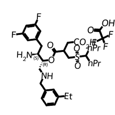 CCCC(CCC)S(=O)(=O)CC(CC(=O)O)C(=O)O[C@H](CNCc1cccc(CC)c1)[C@@H](N)Cc1cc(F)cc(F)c1.O=C(O)C(F)(F)F